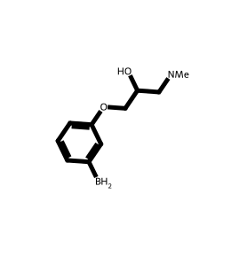 Bc1cccc(OCC(O)CNC)c1